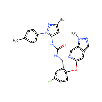 Cc1ccc(-n2nc(C(C)(C)C)cc2NC(=O)NCc2cc(F)ccc2Oc2cc3cnn(C)c3cn2)cc1